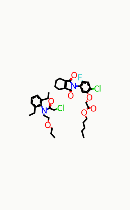 CCCCCOC(=O)COc1cc(N2C(=O)C3=C(CCCC3)C2=O)c(F)cc1Cl.CCCOCCN(C(=O)CCl)c1c(CC)cccc1CC